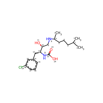 CC(C)CCCC(C)NC[C@H](O)[C@H](Cc1cccc(Cl)c1)NC(=O)O